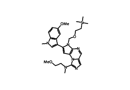 COCCN(C)c1ncc2cnc3c(cc(-c4cn(C)c5ccc(OC)cc45)n3COCC[Si](C)(C)C)n12